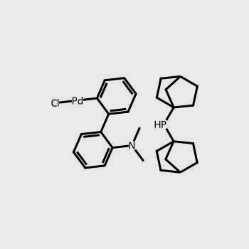 C1CC2(PC34CCC(CC3)C4)CCC1C2.CN(C)c1ccccc1-c1cccc[c]1[Pd][Cl]